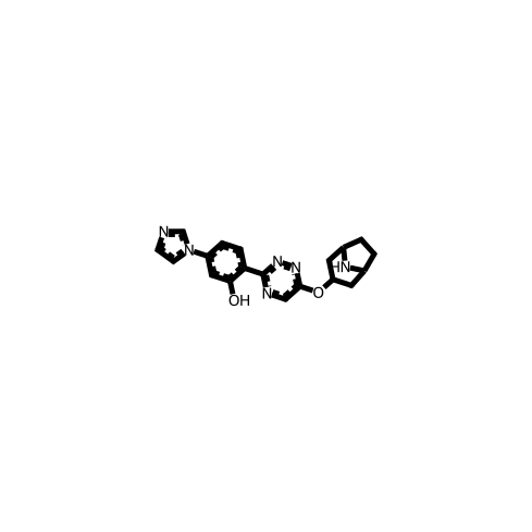 Oc1cc(-n2ccnc2)ccc1-c1ncc(OC2CC3CCC(C2)N3)nn1